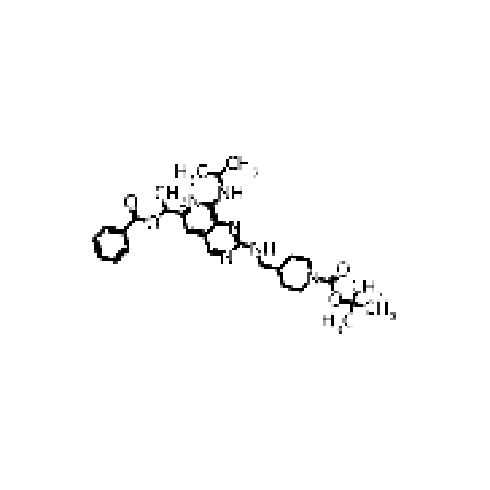 CC(C)Nc1nc(C(C)OC(=O)c2ccccc2)cc2cnc(NCC3CCN(C(=O)OC(C)(C)C)CC3)nc12